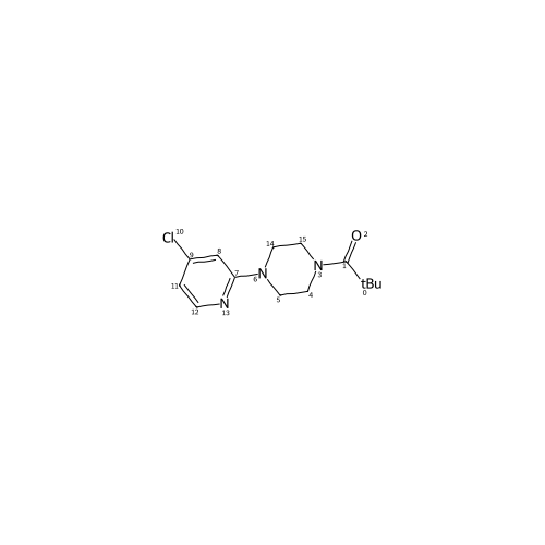 CC(C)(C)C(=O)N1CCN(c2cc(Cl)ccn2)CC1